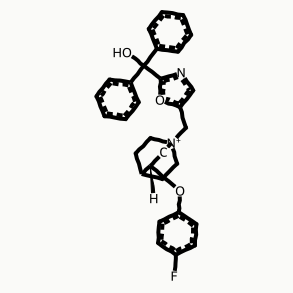 OC(c1ccccc1)(c1ccccc1)c1ncc(C[N+]23CCC(CC2)[C@@H](Oc2ccc(F)cc2)C3)o1